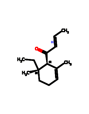 C/C=C/C(=O)[C@H]1C(C)=CCC[C@]1(C)CC